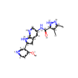 COc1ccncc1-c1cc2cc(NC(=O)c3[nH]nc(C)c3C)cnc2[nH]1